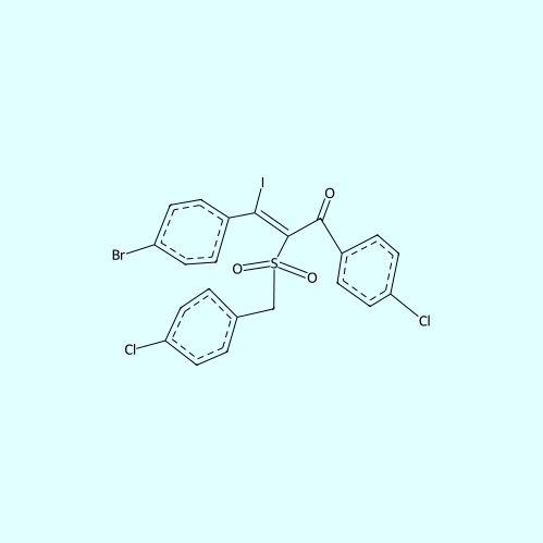 O=C(C(=C(I)c1ccc(Br)cc1)S(=O)(=O)Cc1ccc(Cl)cc1)c1ccc(Cl)cc1